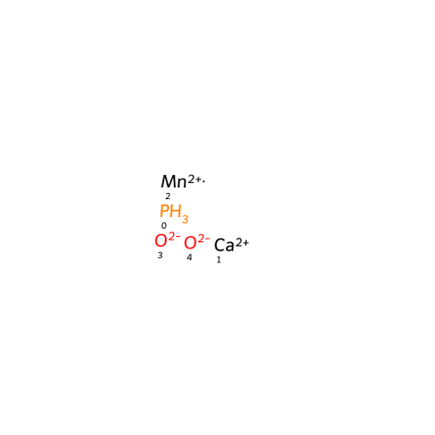 P.[Ca+2].[Mn+2].[O-2].[O-2]